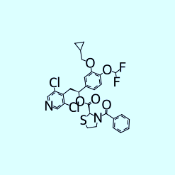 O=C(O[C@@H](Cc1c(Cl)cncc1Cl)c1ccc(OC(F)F)c(OCC2CC2)c1)[C@@H]1SCCN1C(=O)c1ccccc1